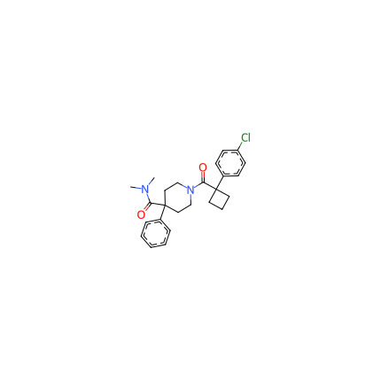 CN(C)C(=O)C1(c2ccccc2)CCN(C(=O)C2(c3ccc(Cl)cc3)CCC2)CC1